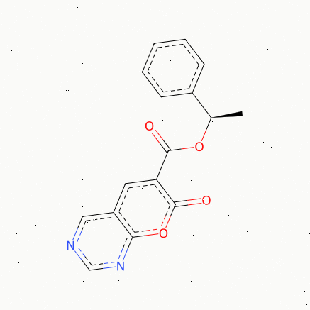 C[C@@H](OC(=O)c1cc2cncnc2oc1=O)c1ccccc1